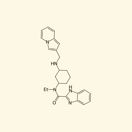 CCN(C(=O)c1nc2ccccc2[nH]1)C1CCCC(NCc2cc3ccccn3c2)C1